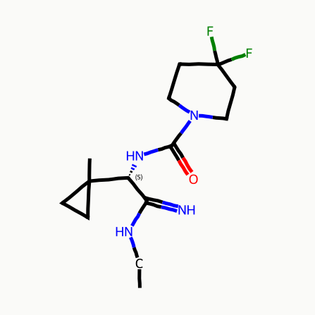 CCNC(=N)[C@@H](NC(=O)N1CCC(F)(F)CC1)C1(C)CC1